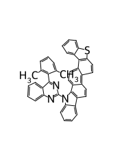 Cc1cccc(C)c1-c1nc(-n2c3ccccc3c3ccc4c5ccc6sc7ccccc7c6c5ccc4c32)nc2ccccc12